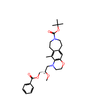 CO[C@H](COC(=O)c1ccccc1)CN1CCOc2cc3c(c(C)c21)CCN(C(=O)OC(C)(C)C)CC3